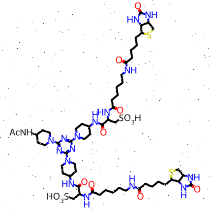 CC(=O)NC1CCN(c2nc(N3CCC(NC(=O)C(CS(=O)(=O)O)NC(=O)CCCCCNC(=O)CCCCC4SCC5NC(=O)NC54)CC3)nc(N3CCC(NC(=O)C(CS(=O)(=O)O)NC(=O)CCCCCNC(=O)CCCCC4SCC5NC(=O)NC54)CC3)n2)CC1